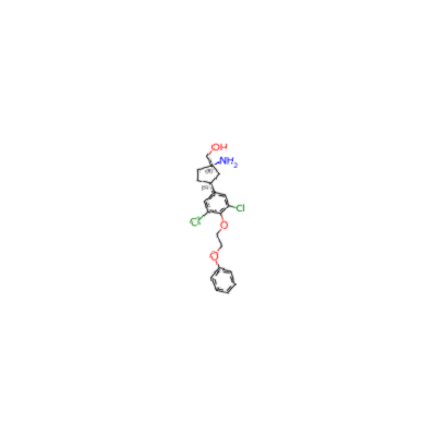 N[C@]1(CO)CC[C@H](c2cc(Cl)c(OCCOc3ccccc3)c(Cl)c2)C1